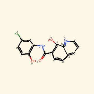 O=C(Nc1cc(Cl)ccc1O)c1ccc2cccnc2c1O